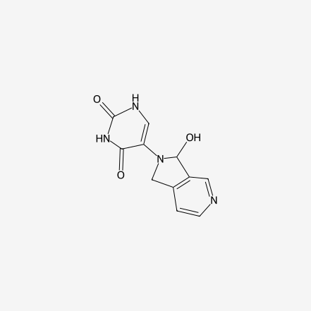 O=c1[nH]cc(N2Cc3ccncc3C2O)c(=O)[nH]1